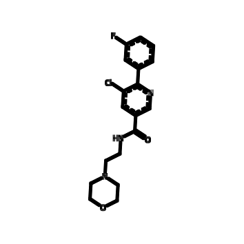 O=C(NCCN1CCOCC1)c1cnc(-c2cccc(F)c2)c(Cl)c1